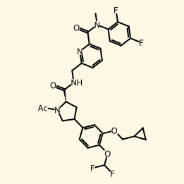 CC(=O)N1CC(c2ccc(OC(F)F)c(OCC3CC3)c2)C[C@@H]1C(=O)NCc1cccc(C(=O)N(C)c2ccc(F)cc2F)n1